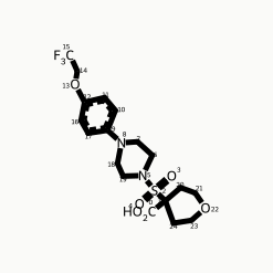 O=C(O)C1(S(=O)(=O)N2CCN(c3ccc(OCC(F)(F)F)cc3)CC2)CCOCC1